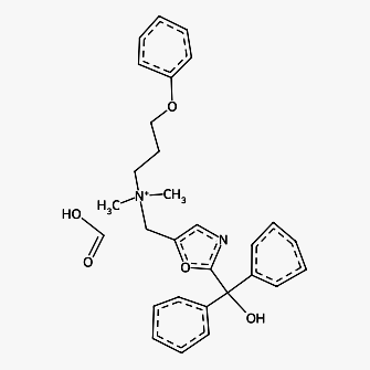 C[N+](C)(CCCOc1ccccc1)Cc1cnc(C(O)(c2ccccc2)c2ccccc2)o1.O=CO